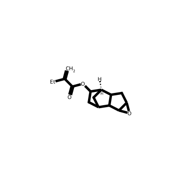 C=C(CC)C(=O)OC1CC2C[C@@H]1C1CC3OC3C21